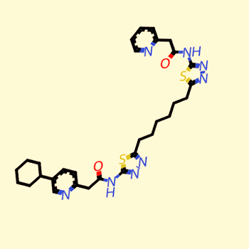 O=C(Cc1ccccn1)Nc1nnc(CCCCCCc2nnc(NC(=O)Cc3ccc(C4CCCCC4)cn3)s2)s1